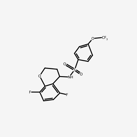 O=S(=O)(NC1CCOc2c(F)ccc(F)c21)c1ccc(OC(F)(F)F)cc1